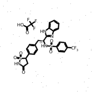 O=C(O)C(F)(F)F.O=C1CC(c2ccc(C[C@H](NS(=O)(=O)c3ccc(C(F)(F)F)cc3)c3nc4ccccc4[nH]3)cc2)S(=O)(=O)N1